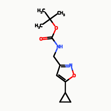 CC(C)(C)OC(=O)NCc1cc(C2CC2)on1